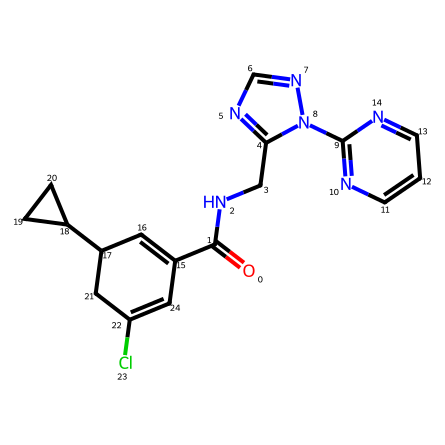 O=C(NCc1ncnn1-c1ncccn1)C1=CC(C2CC2)CC(Cl)=C1